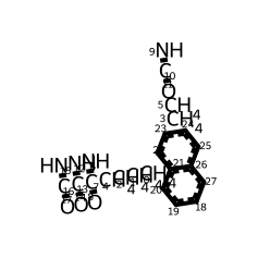 C.C.C.C.C.C.N=C=O.N=C=O.N=C=O.N=C=O.c1ccc2ccccc2c1